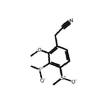 COc1c(CC#N)ccc([S+](C)[O-])c1[S+](C)[O-]